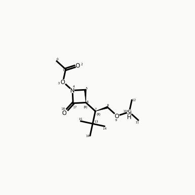 CC(=O)ON1C[C@@H]([C@@H](CO[SiH](C)C)C(C)(C)C)C1=O